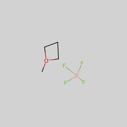 C[O+]1CCC1.F[B-](F)(F)F